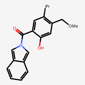 COCc1cc(O)c(C(=O)n2cc3ccccc3c2)cc1C(C)C